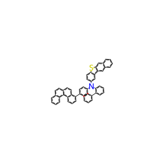 c1ccc(-c2ccccc2N(c2ccc(-c3cccc4c3ccc3ccc5ccccc5c34)cc2)c2ccc3sc4cc5ccccc5cc4c3c2)cc1